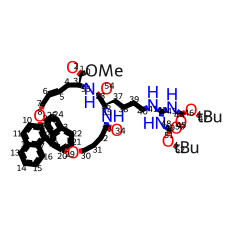 COC(=O)[C@@H]1C/C=C/COc2ccc3ccccc3c2-c2c(ccc3ccccc23)OCCCC(=O)N[C@H](CCCCNC(NC(=O)OC(C)(C)C)NC(=O)OC(C)(C)C)C(=O)N1